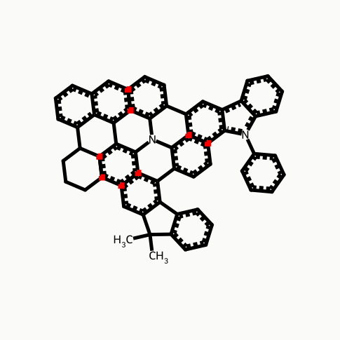 CC1(C)c2ccccc2-c2c(-c3ccccc3N(c3ccccc3-c3ccc4c(c3)c3ccccc3n4-c3ccccc3)c3ccccc3-c3cccc4cccc(C5CCCCC5)c34)cccc21